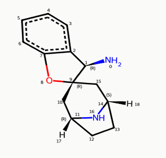 N[C@@H]1c2ccccc2O[C@]12C[C@H]1CC[C@@H](C2)N1